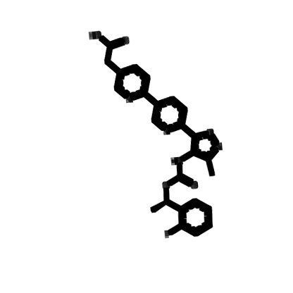 Cc1noc(-c2ccc(-c3ccc(CC(=O)O)cn3)cn2)c1NC(=O)O[C@H](C)c1ccccc1F